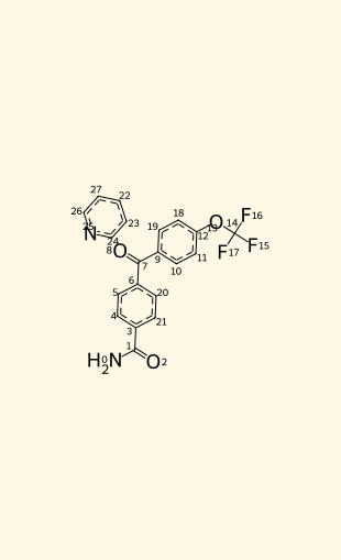 NC(=O)c1ccc(C(=O)c2ccc(OC(F)(F)F)cc2)cc1.c1ccncc1